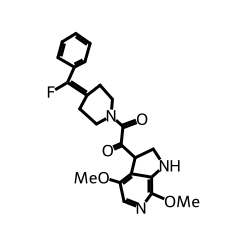 COc1cnc(OC)c2c1C(C(=O)C(=O)N1CCC(=C(F)c3ccccc3)CC1)CN2